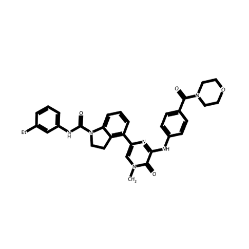 CCc1cccc(NC(=O)N2CCc3c(-c4cn(C)c(=O)c(Nc5ccc(C(=O)N6CCOCC6)cc5)n4)cccc32)c1